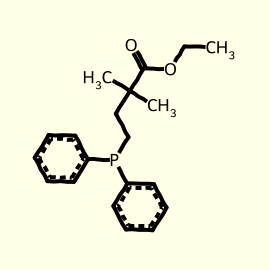 CCOC(=O)C(C)(C)CCP(c1ccccc1)c1ccccc1